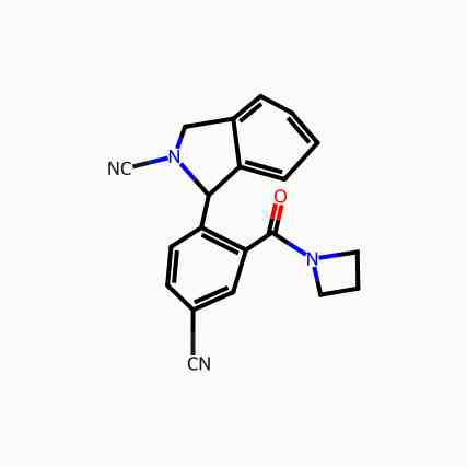 N#Cc1ccc(C2c3ccccc3CN2C#N)c(C(=O)N2CCC2)c1